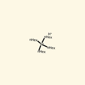 CCCCCC[N+](CCCCCC)(CCCCCC)CCCCCC.[H+]